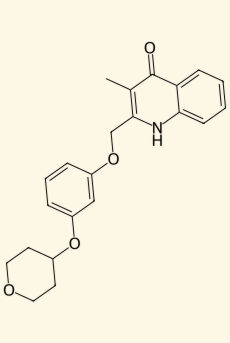 Cc1c(COc2cccc(OC3CCOCC3)c2)[nH]c2ccccc2c1=O